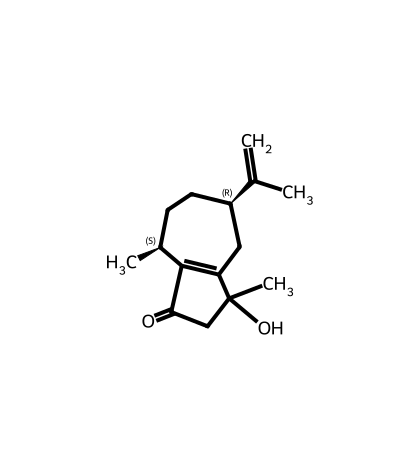 C=C(C)[C@@H]1CC[C@H](C)C2=C(C1)C(C)(O)CC2=O